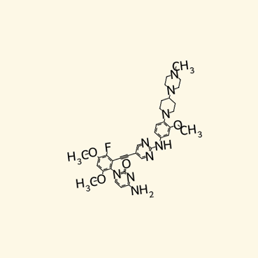 COc1cc(Nc2ncc(C#Cc3c(F)c(OC)cc(OC)c3-n3ccc(N)nc3=O)cn2)ccc1N1CCC(N2CCN(C)CC2)CC1